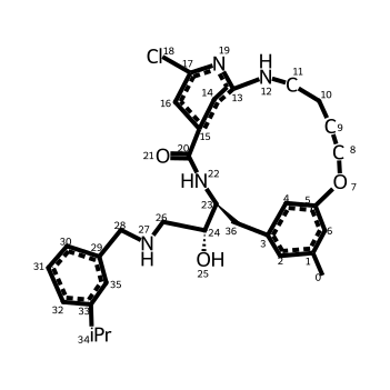 Cc1cc2cc(c1)OCCCCNc1cc(cc(Cl)n1)C(=O)N[C@H]([C@H](O)CNCc1cccc(C(C)C)c1)C2